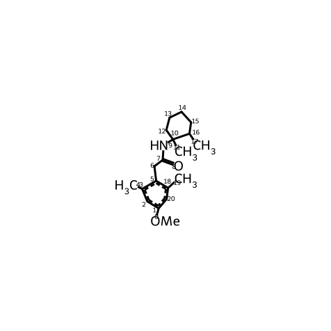 COc1cc(C)c(CC(=O)NC2(C)CCCCC2C)c(C)c1